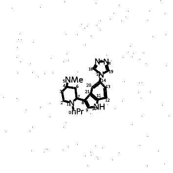 CCCN1CCC(NC)CC1c1c[nH]c2ccc(-n3cnnc3)cc12